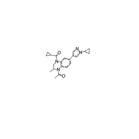 CC(=O)N1c2ccc(-c3cnn(C4CC4)c3)cc2N(C(=O)C2CC2)CC1C